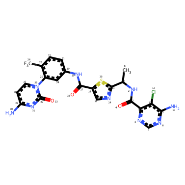 CC(NC(=O)c1ncnc(N)c1Cl)c1ncc(C(=O)Nc2ccc(C(F)(F)F)c(-n3ccc(N)nc3=O)c2)s1